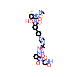 CN(CNc1cccc2c1C(=O)N(C1CCC(=O)NC1=O)C2=O)OC(C)(C)CN1CCN(c2ccc(-c3ccc4c(c3)C(=O)N(C(C(=O)Nc3nccs3)c3cc(F)ccc3O)C4)cc2)CC1